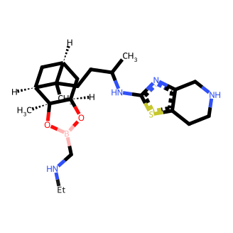 CCNCB1O[C@@H]2C[C@@H]3C[C@@H](C3(C)CCC(C)Nc3nc4c(s3)CCNC4)[C@]2(C)O1